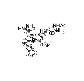 CC(=O)N[C@@H](CC(=O)NCCCCC(NC(=O)CCC(C)C)C(=O)NC(CCCNC(=N)N)C(=O)c1nc2ccccc2s1)C(N)=O